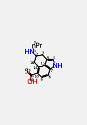 CCCNC1Cc2c[nH]c3ccc(C(O)=S)c(c23)C1